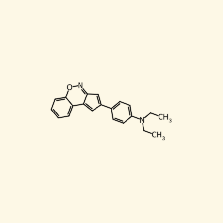 CCN(CC)c1ccc(-c2cc3noc4ccccc4c-3c2)cc1